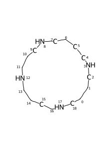 C1CCNCCCCNCCCNCCCCNC1